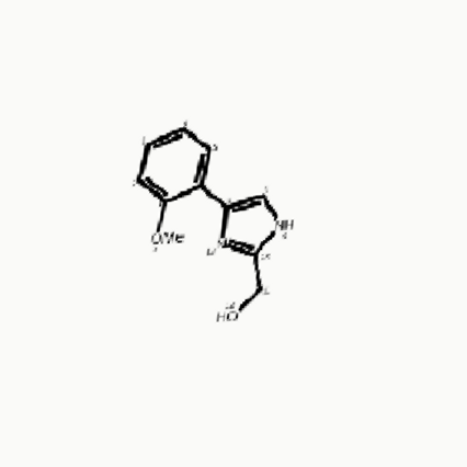 COc1ccccc1-c1c[nH]c(CO)n1